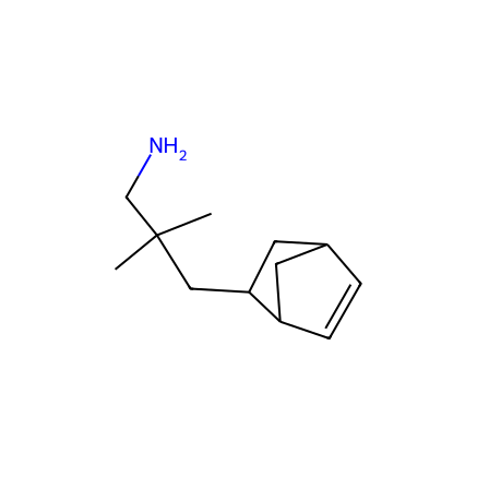 CC(C)(CN)CC1CC2C=CC1C2